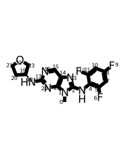 Cn1c(Nc2c(F)cc(F)cc2F)nc2cnc(N[C@@H]3CCOC3)nc21